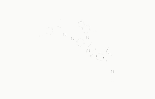 CC1(C)CCC(CN2CCN(c3ccc(C(=O)NS(=O)(=O)c4ccc(OCCN5CCOCC5)c([N+](=O)[O-])c4)c(N4CCCOc5nc6[nH]ccc6cc54)c3)CC2)=C(c2ccc(Cl)cc2)C1